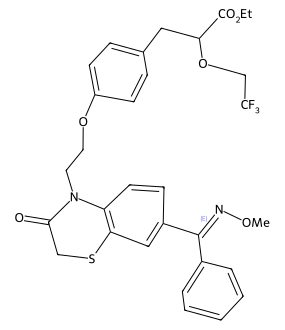 CCOC(=O)C(Cc1ccc(OCCN2C(=O)CSc3cc(/C(=N/OC)c4ccccc4)ccc32)cc1)OCC(F)(F)F